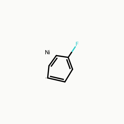 Fc1cc[c]cc1.[Ni]